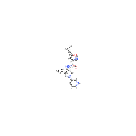 C[C@H]1CN(c2cccnc2)C[C@H]1NC(=O)c1cc(C2CC2)on1